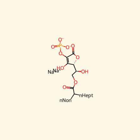 CCCCCCCCCC(CCCCCCC)C(=O)OC[C@H](O)[C@H]1OC(=O)C(OP(=O)([O-])[O-])=C1O.[Na+].[Na+]